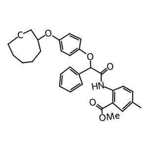 COC(=O)c1cc(C)ccc1NC(=O)C(Oc1ccc(OC2CCCCCCC2)cc1)c1ccccc1